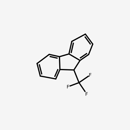 FC(F)(F)C1c2ccccc2-c2ccccc21